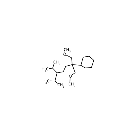 COCC(CCC(C(C)C)C(C)C)(COC)C1CCCCC1